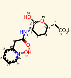 O=C(O)C[C@@H]1CC[C@H](NC(=O)Cc2cccc[n+]2O)B(O)O1